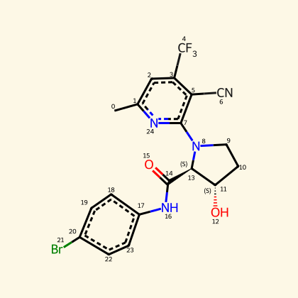 Cc1cc(C(F)(F)F)c(C#N)c(N2CC[C@H](O)[C@H]2C(=O)Nc2ccc(Br)cc2)n1